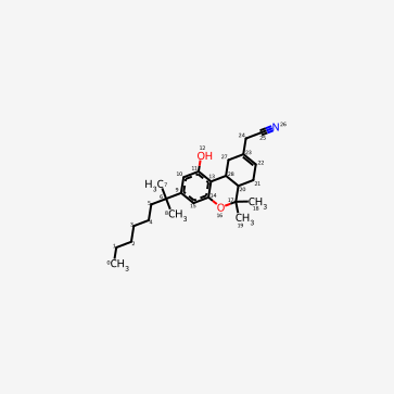 CCCCCCC(C)(C)c1cc(O)c2c(c1)OC(C)(C)C1CC=C(CC#N)CC21